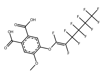 COc1cc(C(=O)O)c(C(=O)O)cc1OC(F)=C(F)C(F)(F)C(F)(F)C(F)(F)C(F)(F)F